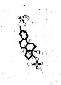 C[C@]12CC[C@@H]3c4ccc(OS(N)(=O)=O)cc4CC[C@H]3[C@@H]1C[C@@H](Cl)[C@@H]2OS(N)(=O)=O